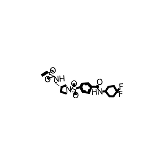 C=CS(=O)(=O)NC[C@H]1CCN(S(=O)(=O)c2ccc(C(=O)NC3CCC(F)(F)CC3)cc2)C1